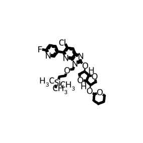 C[Si](C)(C)CCOCn1c(O[C@@H]2CO[C@H]3[C@@H]2OC[C@H]3OC2CCCCO2)nc2cc(Cl)c(-c3ccc(F)nc3)nc21